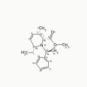 CC[C@@H]1C=C[C@H](C)[C@H](C(=O)OC)N1[C@@H](C)c1ccccc1